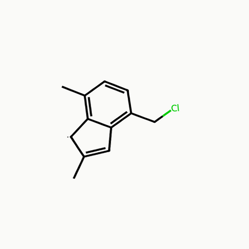 CC1=Cc2c(CCl)ccc(C)c2[CH]1